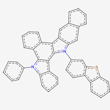 c1ccc(-n2c3ccccc3c3c2c2ccccc2c2c4cc5ccccc5cc4n(-c4ccc5c(c4)sc4ccccc45)c23)cc1